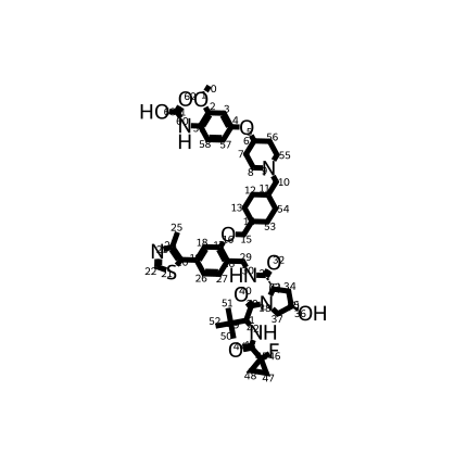 COc1cc(OC2CCN(CC3CCC(COc4cc(-c5scnc5C)ccc4CNC(=O)[C@@H]4C[C@@H](O)CN4C(=O)C(NC(=O)C4(F)CC4)C(C)(C)C)CC3)CC2)ccc1NC(=O)O